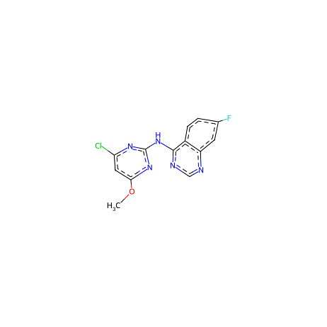 COc1cc(Cl)nc(Nc2ncnc3cc(F)ccc23)n1